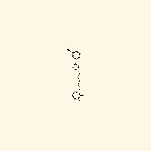 N#Cc1cccc(-c2cn(CCCCCn3cccc(O)c3=O)nn2)c1